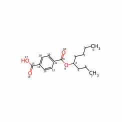 CCCCC(CCC)OC(=O)c1ccc(C(=O)O)cc1